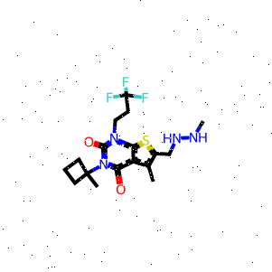 CNNCc1sc2c(c1C)c(=O)n(C1(C)CCC1)c(=O)n2CCC(F)(F)F